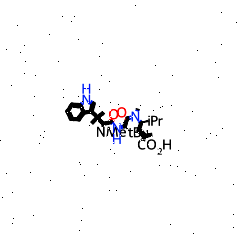 CN[C@H](C(=O)N[C@H](C(=O)N(C)[C@H](/C=C(\C)C(=O)O)C(C)C)C(C)(C)C)C(C)(C)c1c[nH]c2ccccc12